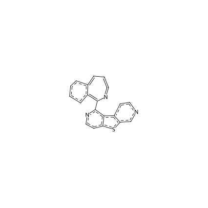 C1=CC=c2ccccc2=C(c2nccc3sc4cnccc4c23)N=1